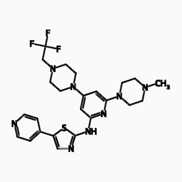 CN1CCN(c2cc(N3CCN(CC(F)(F)F)CC3)cc(Nc3ncc(-c4ccncc4)s3)n2)CC1